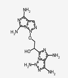 Nc1nc(C(O)COn2ncc3c(N)nc(N)n32)n2c1c(N)nn2N